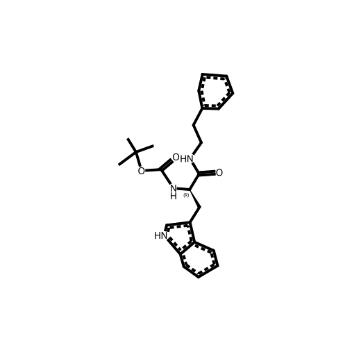 CC(C)(C)OC(=O)N[C@H](Cc1c[nH]c2ccccc12)C(=O)NCCc1ccccc1